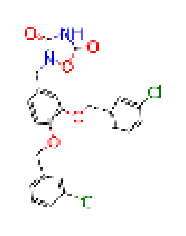 O=c1[nH]c(=O)n(Cc2ccc(OCc3cccc(Cl)c3)c(OCc3cccc(Cl)c3)c2)o1